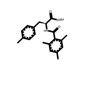 COC(=O)[C@H](Cc1ccc(C)cc1)NC(=O)c1c(C)cc(C)cc1C